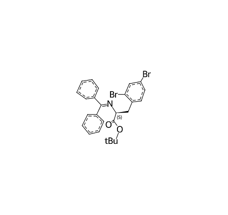 CC(C)(C)OC(=O)[C@H](Cc1ccc(Br)cc1Br)N=C(c1ccccc1)c1ccccc1